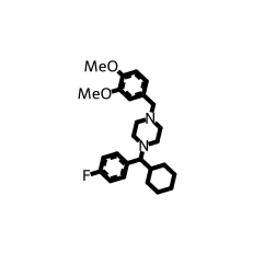 COc1ccc(CN2CCN(C(c3ccc(F)cc3)C3CCCCC3)CC2)cc1OC